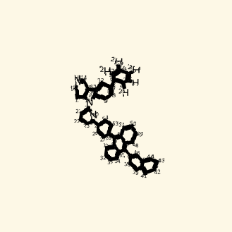 [2H]c1c([2H])c([2H])c(-c2ccc3c(c2)c2cnccc2n3-c2cccc(-c3ccc(-c4c5ccccc5c(-c5ccc6ccccc6c5)c5ccccc45)cc3)n2)c([2H])c1[2H]